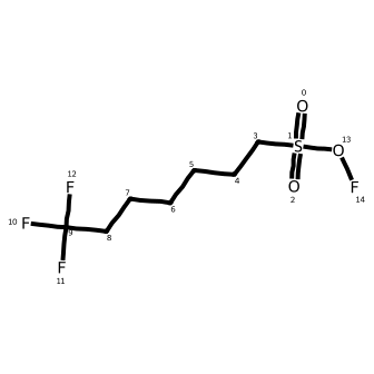 O=S(=O)(CCCCCCC(F)(F)F)OF